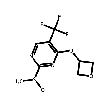 C[S+]([O-])c1ncc(C(F)(F)F)c(OC2COC2)n1